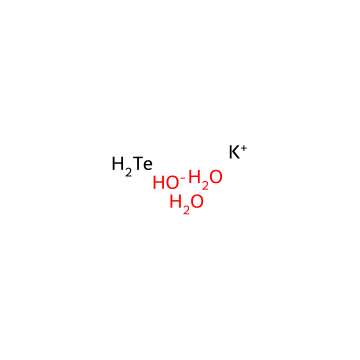 O.O.[K+].[OH-].[TeH2]